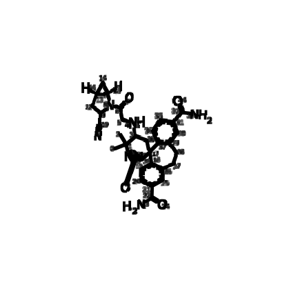 CC1(C)[C@@H](NCC(=O)N2C(C#N)C[C@@H]3C[C@@H]32)CC2(c3ccc(C(N)=O)cc3CCc3cc(C(N)=O)ccc32)c2nc(=O)on21